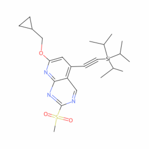 CC(C)[Si](C#Cc1cc(OCC2CC2)nc2nc(S(C)(=O)=O)ncc12)(C(C)C)C(C)C